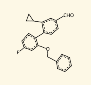 O=Cc1ccc(-c2ccc(F)cc2OCc2ccccc2)c(C2CC2)c1